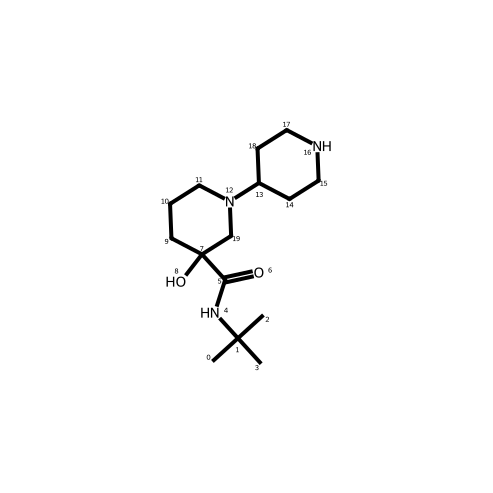 CC(C)(C)NC(=O)C1(O)CCCN(C2CCNCC2)C1